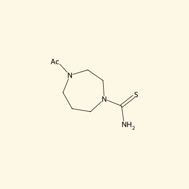 CC(=O)N1CCCN(C(N)=S)CC1